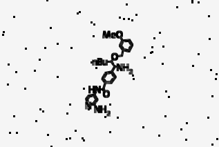 CCCCC(OCc1cccc(OC)c1)C(N)c1ccc(C(=O)Nc2ccnc(N)c2)cc1